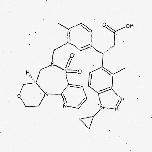 Cc1ccc([C@H](CC(=O)O)c2ccc3c(nnn3C3CC3)c2C)cc1CN1C[C@@H]2COCCN2c2ncccc2S1(=O)=O